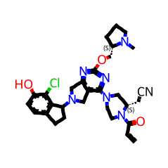 C=CC(=O)N1CCN(c2nc(OC[C@@H]3CCCN3C)nc3c2CN(C2CCc4ccc(O)c(Cl)c42)C3)C[C@@H]1CC#N